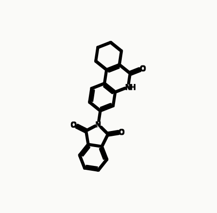 O=C1c2ccccc2C(=O)N1c1ccc2c3c(c(=O)[nH]c2c1)CCCC3